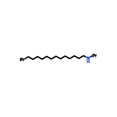 CC(C)CCCCCCCCCCCCCNC(C)C